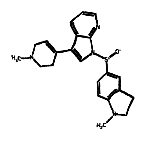 CN1CC=C(c2cn([S+]([O-])c3ccc4c(c3)CCN4C)c3ncccc23)CC1